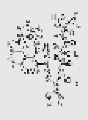 COc1ccc(F)cc1[C@H](Cn1c(=O)n(C(C)(C)C(=O)NS(=O)(=O)C2(C)CC2)c(=O)c2c(C)c(-c3ncco3)sc21)O[C@@H]1C[C@H]2CC[C@@H](C1)O2